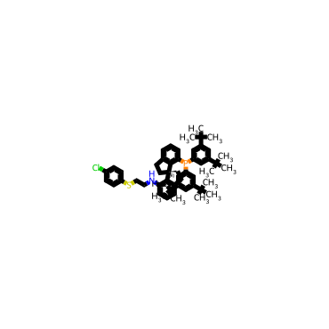 CC(C)(C)c1cc(P(c2cc(C(C)(C)C)cc(C(C)(C)C)c2)c2cccc3c2[C@]2(CCc4cccc(NCCSc5ccc(Cl)cc5)c42)CC3)cc(C(C)(C)C)c1